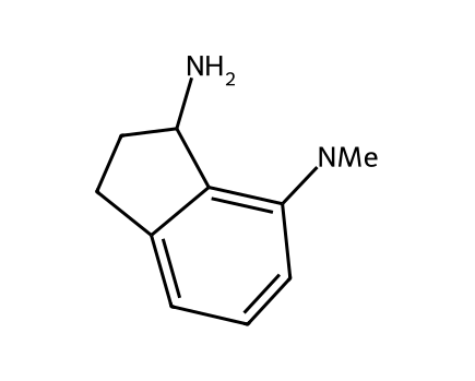 CNc1cccc2c1C(N)CC2